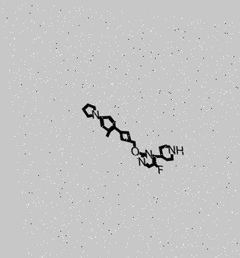 Cc1cc(N2CCCC2)ccc1C1CC(COc2ncc(F)c(C3CCNCC3)n2)C1